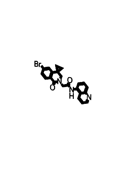 O=C(CN1CC2(CC2)c2cc(Br)ccc2C1=O)Nc1cccc2ncccc12